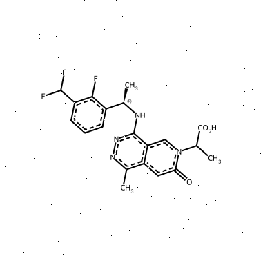 Cc1nnc(N[C@H](C)c2cccc(C(F)F)c2F)c2cn(C(C)C(=O)O)c(=O)cc12